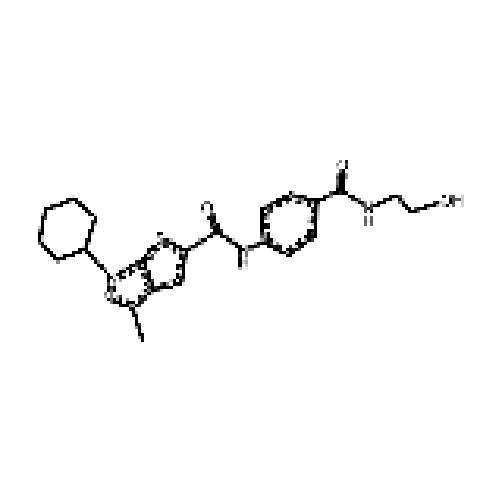 Cc1nn(C2CCCCC2)c2sc(C(=O)Nc3ccc(C(=O)NCCO)cc3)cc12